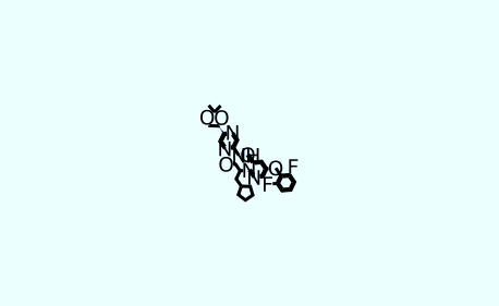 CC1(C)OC[C@@H](c2cnc(NC(=O)C(CC3CCCC3)n3ncc(Oc4c(F)cccc4F)cc3=O)cn2)O1